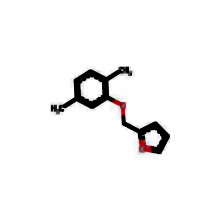 Cc1ccc(C)c(OCc2ccco2)c1